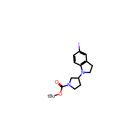 CC(C)(C)OC(=O)N1CCC(N2CCc3cc(I)ccc32)C1